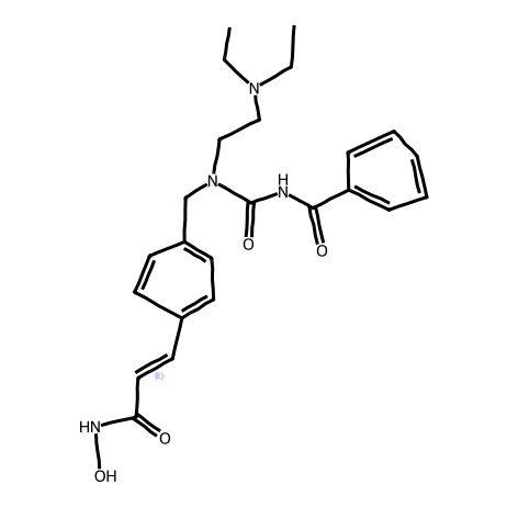 CCN(CC)CCN(Cc1ccc(/C=C/C(=O)NO)cc1)C(=O)NC(=O)c1ccccc1